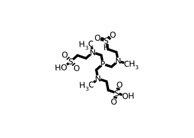 CN(CC[SH](=O)=O)CP(CN(C)CCS(=O)(=O)O)CN(C)CCS(=O)(=O)O